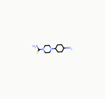 NC(=S)N1CCN(C2CCC(N)CC2)CC1